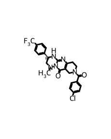 CN1C[C@@H](c2ccc(C(F)(F)F)cc2)Nc2nc3c(c(=O)n21)CN(C(=O)c1ccc(Cl)cc1)CC3